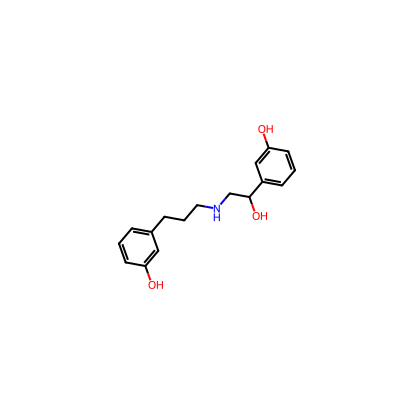 Oc1cccc(CCCNCC(O)c2cccc(O)c2)c1